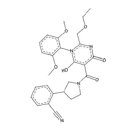 CCOCc1nc(=O)c(C(=O)N2CCC(c3ccccc3C#N)C2)c(O)n1-c1c(OC)cccc1OC